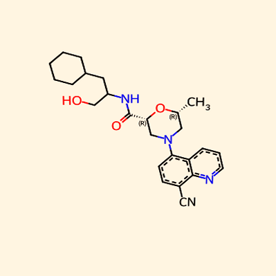 C[C@@H]1CN(c2ccc(C#N)c3ncccc23)C[C@H](C(=O)NC(CO)CC2CCCCC2)O1